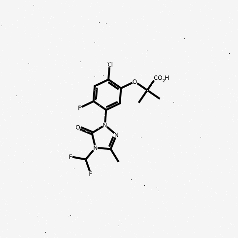 Cc1nn(-c2cc(OC(C)(C)C(=O)O)c(Cl)cc2F)c(=O)n1C(F)F